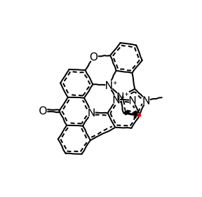 Cn1c2[n+](c3ccccc31)[N+]13c4c(cccc4-2)Oc2ccc4c(=O)c5cccc6c7ccn[n+]1c7n(c4c23)c56